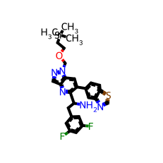 C[Si](C)(C)CCOCn1ncc2nc(C(N)Cc3cc(F)cc(F)c3)c(-c3ccc4scnc4c3)cc21